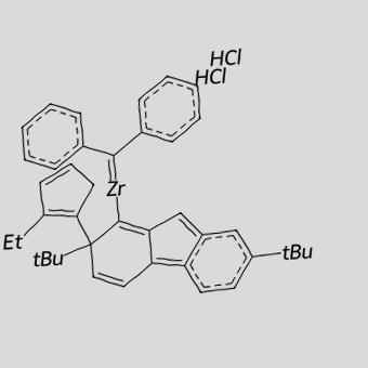 CCC1=C(C2(C(C)(C)C)C=CC3=c4ccc(C(C)(C)C)cc4=CC3=[C]2[Zr]=[C](c2ccccc2)c2ccccc2)CC=C1.Cl.Cl